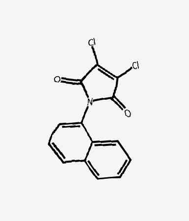 O=C1C(Cl)=C(Cl)C(=O)N1c1cccc2ccccc12